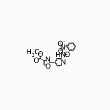 COC(=O)c1coc(-c2ccnc(NOc3ccccc3[N+](=O)[O-])c2)n1